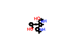 Cc1cc(-c2cccc3c(C)c[nH]c23)c(C#Cc2ccccc2CO)c2c1NC(C)(C)[C@H](O)[C@H]2C